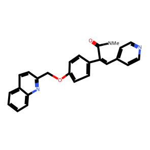 CNC(=O)C(=Cc1ccncc1)c1ccc(OCc2ccc3ccccc3n2)cc1